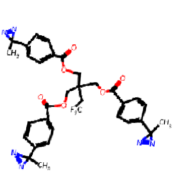 CC1(c2ccc(C(=O)OCC(COC(=O)c3ccc(C4(C)N=N4)cc3)(COC(=O)c3ccc(C4(C)N=N4)cc3)CC(F)(F)F)cc2)N=N1